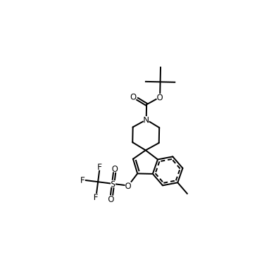 Cc1ccc2c(c1)C(OS(=O)(=O)C(F)(F)F)=CC21CCN(C(=O)OC(C)(C)C)CC1